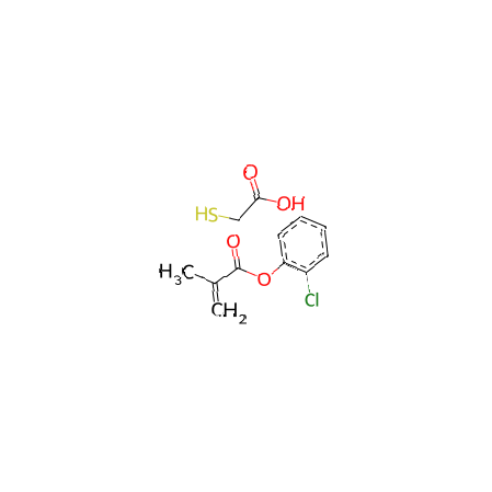 C=C(C)C(=O)Oc1ccccc1Cl.O=C(O)CS